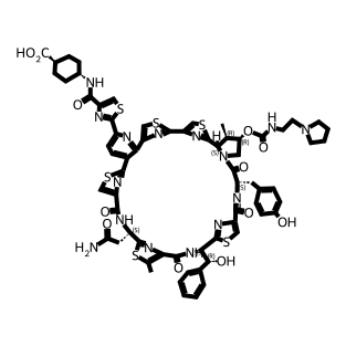 Cc1sc2nc1C(=O)N[C@@H]([C@H](O)c1ccccc1)c1nc(cs1)C(=O)N[C@@H](Cc1ccc(O)cc1)C(=O)N1C[C@H](OC(=O)NCCN3CCCC3)[C@H](C)[C@H]1c1nc(cs1)-c1nc(cs1)-c1nc(-c3nc(C(=O)N[C@H]4CC[C@H](C(=O)O)CC4)cs3)ccc1-c1nc(cs1)C(=O)N[C@H]2CC(N)=O